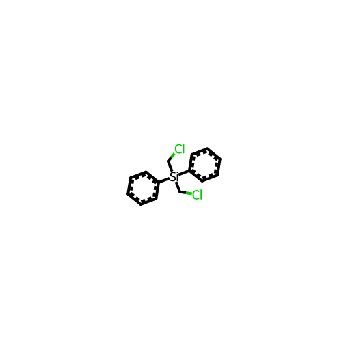 ClC[Si](CCl)(c1ccccc1)c1ccccc1